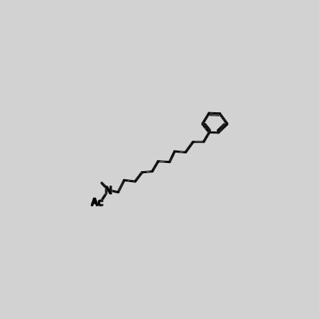 CC(=O)N(C)CCCCCCCCCCCc1ccccc1